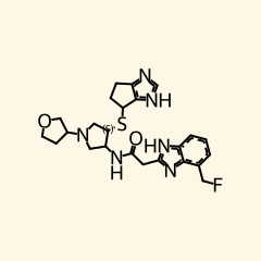 O=C(Cc1nc2c(CF)cccc2[nH]1)NC1CN(C2CCOC2)C[C@@H]1SC1CCc2nc[nH]c21